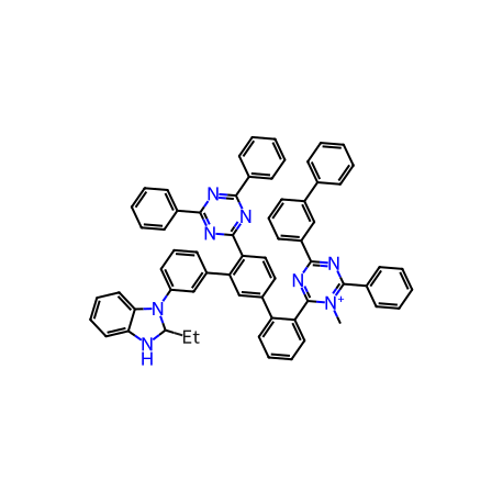 CCC1Nc2ccccc2N1c1cccc(-c2cc(-c3ccccc3-c3nc(-c4cccc(-c5ccccc5)c4)nc(-c4ccccc4)[n+]3C)ccc2-c2nc(-c3ccccc3)nc(-c3ccccc3)n2)c1